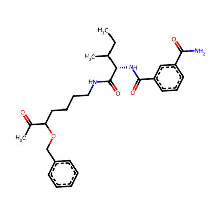 CCC(C)[C@H](NC(=O)c1cccc(C(N)=O)c1)C(=O)NCCCCC(OCc1ccccc1)C(C)=O